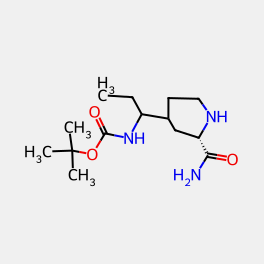 CCC(NC(=O)OC(C)(C)C)C1CCN[C@H](C(N)=O)C1